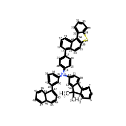 CC1(C)c2ccccc2-c2ccc(N(c3ccc(-c4cccc5c4ccc4sc6ccccc6c45)cc3)c3cccc(C4=CC=CC5C=CC=CC45)c3)cc21